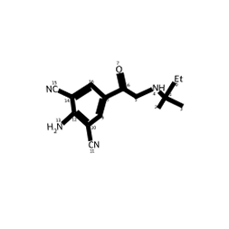 CCC(C)(C)NCC(=O)c1cc(C#N)c(N)c(C#N)c1